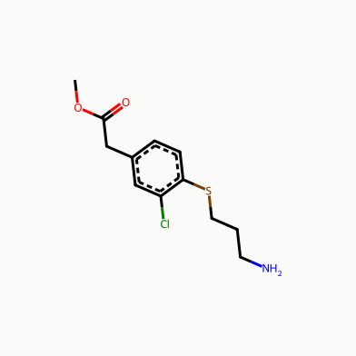 COC(=O)Cc1ccc(SCCCN)c(Cl)c1